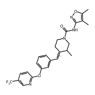 Cc1onc(NC(=O)N2CC/C(=C\c3cccc(Oc4ccc(C(F)(F)F)cn4)c3)C(C)C2)c1C